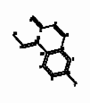 C=C/C=C\c1cc(C)ccc1/N=C/C